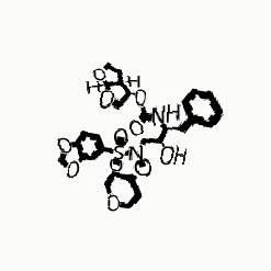 O=C(N[C@@H](Cc1ccccc1)[C@H](O)CN(OC1CCOCC1)S(=O)(=O)c1ccc2c(c1)OCO2)O[C@H]1CO[C@H]2OCC[C@H]21